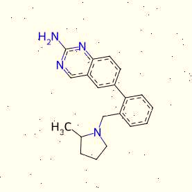 CC1CCCN1Cc1ccccc1-c1ccc2nc(N)ncc2c1